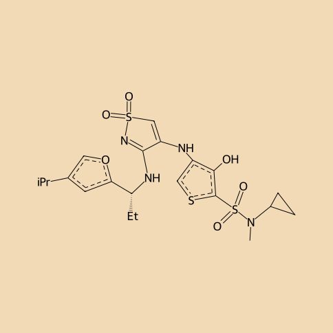 CC[C@@H](NC1=NS(=O)(=O)C=C1Nc1csc(S(=O)(=O)N(C)C2CC2)c1O)c1cc(C(C)C)co1